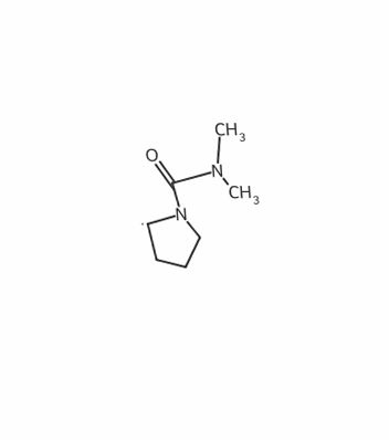 CN(C)C(=O)N1[CH]CCC1